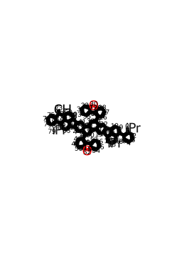 CC(C)c1cccc(C(C)C)c1-c1ccc2c3c(cccc13)-c1cc3c(cc1-2)c(-c1cccc2oc4ccccc4c12)cc1c2cc4c(cc2c(-c2cccc5oc6ccccc6c25)cc31)-c1ccc2c3c(ccc-4c13)C(C)c1cccc(C(C)C)c1-2